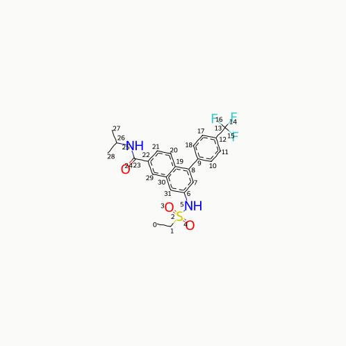 CCS(=O)(=O)Nc1cc(-c2ccc(C(F)(F)F)cc2)c2ccc(C(=O)NC(C)C)cc2c1